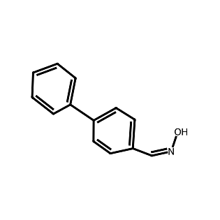 O/N=C\c1ccc(-c2ccccc2)cc1